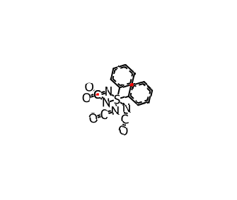 O=C=NS(N=C=O)(N=C=O)(N=C=O)(c1ccccc1)c1ccccc1